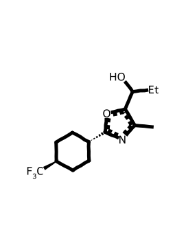 CCC(O)c1oc([C@H]2CC[C@H](C(F)(F)F)CC2)nc1C